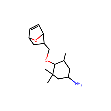 CC1CC(N)CC(C)(C)C1OCC1CC2C=CC1O2